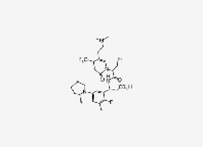 Cc1cc(N2CCCC[C@@H]2C)cc(C(CC(=O)O)NC(=O)C(CC(C)C)n2cc(CCN(C)C)c(C(F)(F)F)cc2=O)c1F